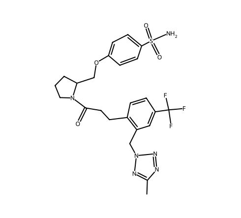 Cc1nnn(Cc2cc(C(F)(F)F)ccc2CCC(=O)N2CCCC2COc2ccc(S(N)(=O)=O)cc2)n1